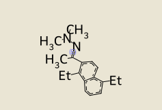 CCc1cccc2c(CC)c(/C(C)=N/N(C)C)ccc12